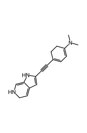 CN(C)C1=CC=C(C#Cc2cc3c([nH]2)=CNCC=3)CC1